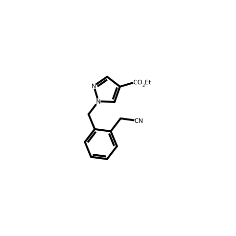 CCOC(=O)c1cnn(Cc2ccccc2CC#N)c1